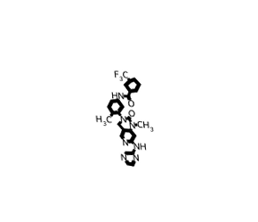 Cc1ccc(NC(=O)c2cccc(C(F)(F)F)c2)cc1N1Cc2cnc(Nc3cnccn3)cc2N(C)C1=O